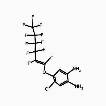 Nc1cc(Cl)c(OC(F)=C(F)C(F)(F)C(F)(F)C(F)(F)C(F)(F)F)cc1N